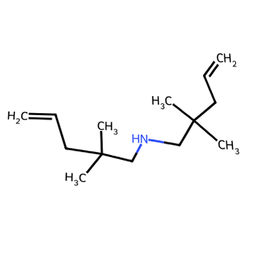 C=CCC(C)(C)CNCC(C)(C)CC=C